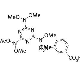 CON(OC)c1nc(N(OC)OC)nc(N(OC)OC)n1.Nc1cccc(C(=O)O)c1